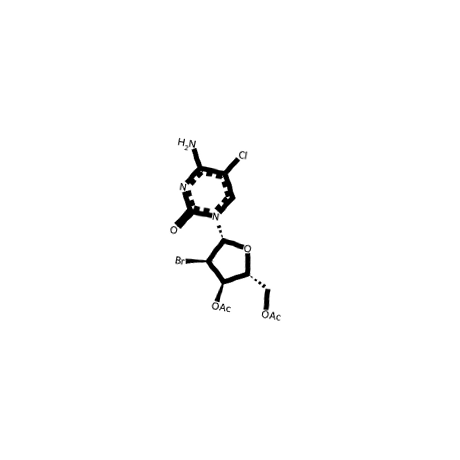 CC(=O)OC[C@H]1O[C@@H](n2cc(Cl)c(N)nc2=O)[C@H](Br)[C@@H]1OC(C)=O